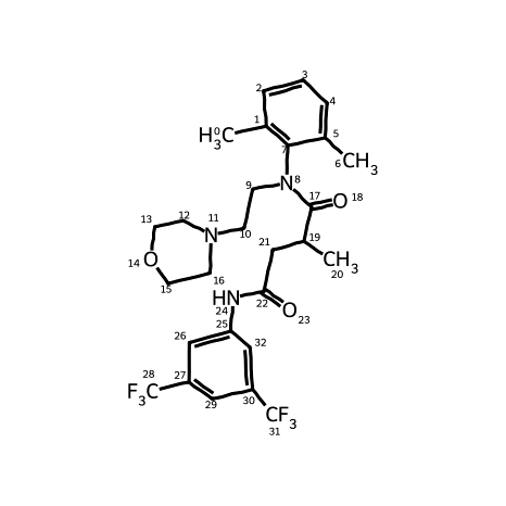 Cc1cccc(C)c1N(CCN1CCOCC1)C(=O)C(C)CC(=O)Nc1cc(C(F)(F)F)cc(C(F)(F)F)c1